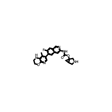 Cc1c(-c2cc3cc(NC(=O)OC45CNCC4C5)ncc3cc2F)cnc2c1NCCO2